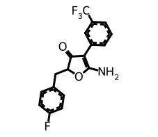 NC1=C(c2cccc(C(F)(F)F)c2)C(=O)C(Cc2ccc(F)cc2)O1